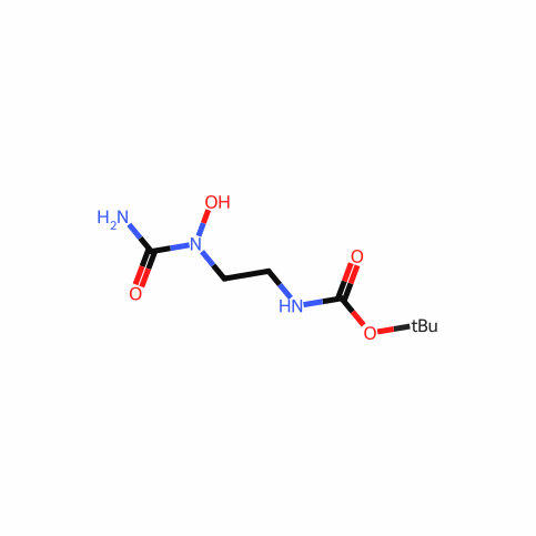 CC(C)(C)OC(=O)NCCN(O)C(N)=O